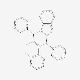 CC1=C(c2ccccc2C)C(c2ccccc2)c2[nH]c3ccccc3c2C1c1ccccc1